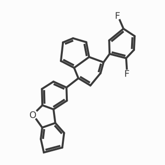 Fc1ccc(F)c(-c2ccc(-c3ccc4oc5ccccc5c4c3)c3ccccc23)c1